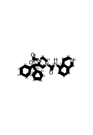 O=C(Nc1cccc2cnccc12)N1CCN2C(=O)OC(c3ccccc3)(c3ccccc3)C2C1